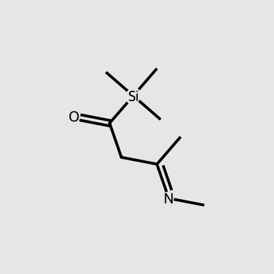 C/N=C(\C)CC(=O)[Si](C)(C)C